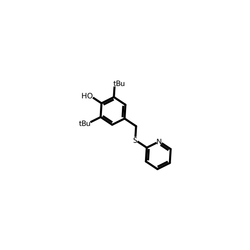 CC(C)(C)c1cc(CSc2ccccn2)cc(C(C)(C)C)c1O